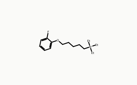 CC[N+](CC)(CC)CCCCCOc1cc[c]cc1F